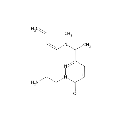 C=C/C=C\N(C)C(C)c1ccc(=O)n(CCN)n1